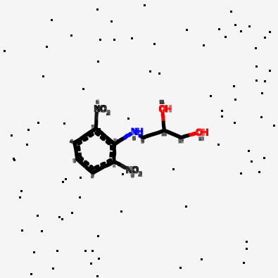 O=[N+]([O-])c1cccc([N+](=O)[O-])c1NCC(O)CO